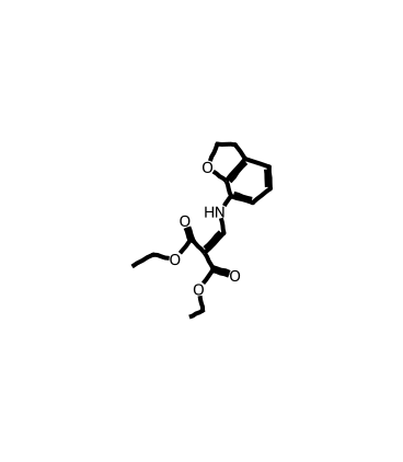 CCOC(=O)C(=CNc1cccc2c1OCC2)C(=O)OCC